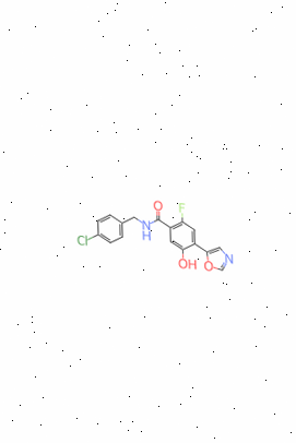 O=C(NCc1ccc(Cl)cc1)c1cc(O)c(-c2cnco2)cc1F